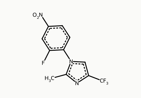 Cc1nc(C(F)(F)F)cn1-c1ccc([N+](=O)[O-])cc1F